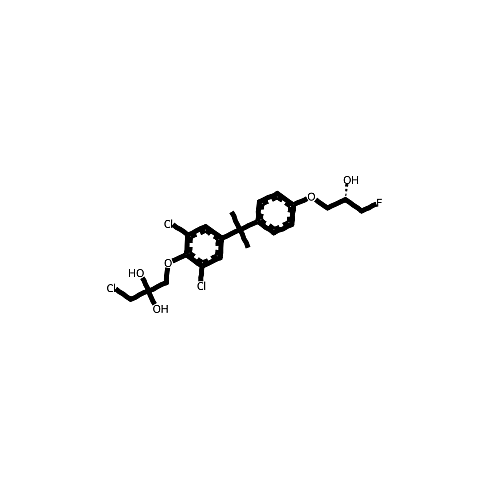 CC(C)(c1ccc(OC[C@H](O)CF)cc1)c1cc(Cl)c(OCC(O)(O)CCl)c(Cl)c1